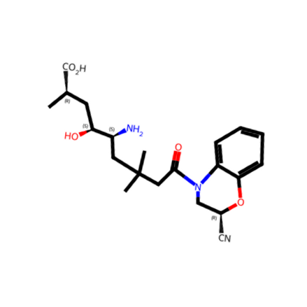 C[C@H](C[C@H](O)[C@@H](N)CC(C)(C)CC(=O)N1C[C@H](C#N)Oc2ccccc21)C(=O)O